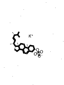 CC(C)[C@@H](C)C=C[C@@H](C)[C@H]1CCC2C3=CC=C4C[C@@H](OS(=O)(=O)[O-])CC[C@]4(C)C3CC[C@@]21C.[K+]